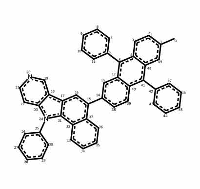 Cc1ccc2c(-c3ccccc3)c3cc(-c4cc5c6cnccc6n(-c6ccccc6)c5c5ccccc45)ccc3c(-c3ccccc3)c2c1